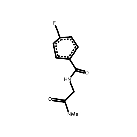 C[N]C(=O)CNC(=O)c1ccc(F)cc1